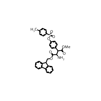 COC(=O)C(c1ccc(OS(=O)(=O)c2ccc(C)cc2)cc1)C(N)C(=O)OCC1c2ccccc2-c2ccccc21